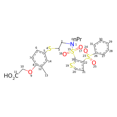 CCCN(CCSc1ccc(OCC(=O)O)c(C)c1)S(=O)(=O)c1sccc1S(=O)(=O)c1ccccc1